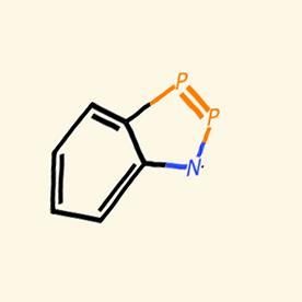 c1ccc2c(c1)[N]P=P2